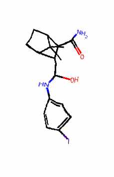 CC1(C)C2CCC1C(C(O)Nc1ccc(I)cc1)C2C(N)=O